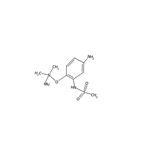 CC(C)(C)[Si](C)(C)Oc1ccc(N)cc1NS(C)(=O)=O